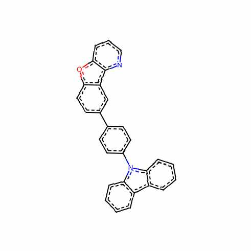 c1cnc2c(c1)oc1ccc(-c3ccc(-n4c5ccccc5c5ccccc54)cc3)cc12